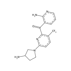 Nc1ncccc1C(=O)c1nc(N2CCC(N)C2)ccc1C(F)(F)F